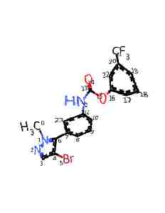 Cn1ncc(Br)c1-c1cccc(NC(=O)Oc2cccc(C(F)(F)F)c2)c1